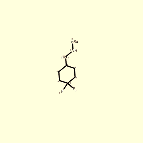 CCCCNNC1CCC(F)(F)CC1